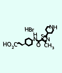 Br.Cc1nc(C2CCNCC2)sc1C(=O)N[C@H]1CC[C@H](CCC(=O)O)CC1